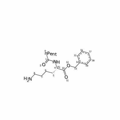 CCCCCC(=O)N[C@@H](CCCCN)C(=O)OCc1ccccc1